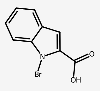 O=C(O)c1cc2ccccc2n1Br